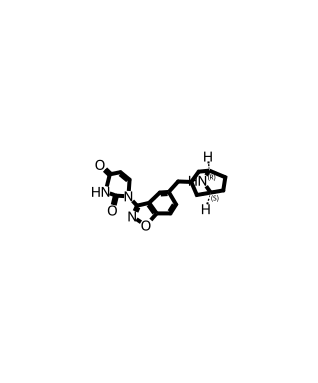 O=c1ccn(-c2noc3ccc(CC4C[C@H]5CC[C@@H](C4)N5)cc23)c(=O)[nH]1